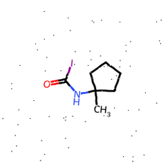 CC1(NC(=O)I)CCCC1